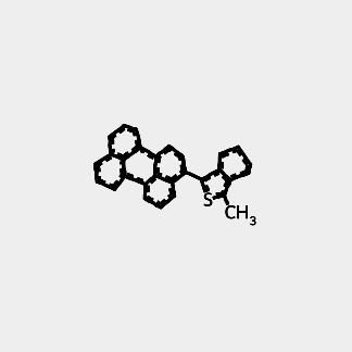 Cc1sc(-c2ccc3c4cccc5cccc(c6cccc2c63)c54)c2ccccc12